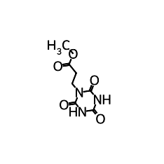 COC(=O)CCn1c(=O)[nH]c(=O)[nH]c1=O